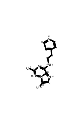 Clc1nc(NCCc2ccncc2)c2ncc(Br)n2n1